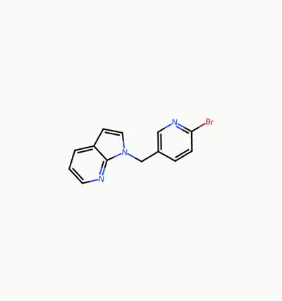 Brc1ccc(Cn2ccc3cccnc32)cn1